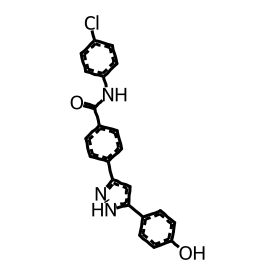 O=C(Nc1ccc(Cl)cc1)c1ccc(-c2cc(-c3ccc(O)cc3)[nH]n2)cc1